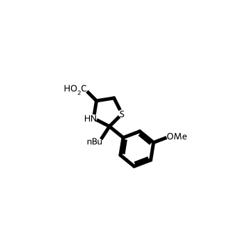 CCCCC1(c2cccc(OC)c2)NC(C(=O)O)CS1